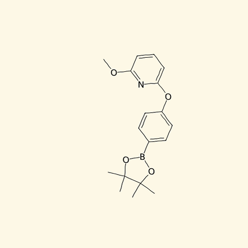 COc1cccc(Oc2ccc(B3OC(C)(C)C(C)(C)O3)cc2)n1